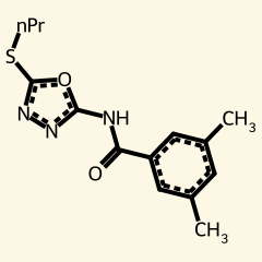 CCCSc1nnc(NC(=O)c2cc(C)cc(C)c2)o1